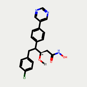 CCO[C@H](CC(=O)NO)C(Cc1ccc(Cl)cc1)c1ccc(-c2cncnc2)cc1